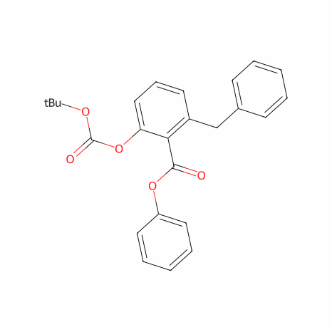 CC(C)(C)OC(=O)Oc1cccc(Cc2ccccc2)c1C(=O)Oc1ccccc1